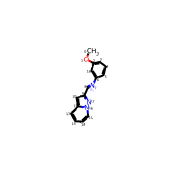 COc1cccc(/N=C/c2cc3ccccn3n2)c1